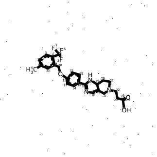 Cc1ccc(C(F)(F)F)c(COc2ccc(C3=NC=C4CN(CCC(=O)O)CCC4N3)cc2)c1